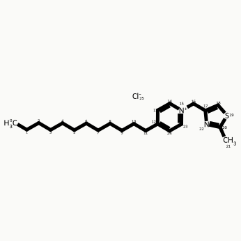 CCCCCCCCCCCCc1cc[n+](Cc2csc(C)n2)cc1.[Cl-]